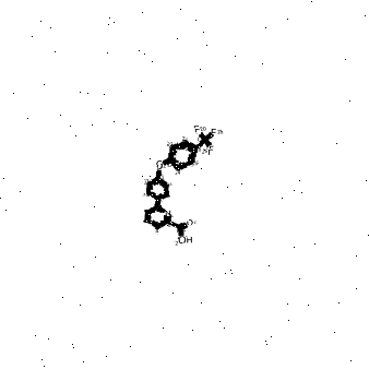 O=C(O)c1cccc(-c2ccc(Oc3ccc(C(F)(F)F)cc3)cc2)n1